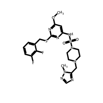 COc1cc(NS(=O)(=O)N2CCN(Cc3ncnn3C)CC2)nc(SCc2cccc(F)c2F)n1